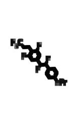 CCCc1ccc(/C(F)=C(\F)c2cc(F)c(/C=C/C(F)(F)F)c(F)c2)cc1